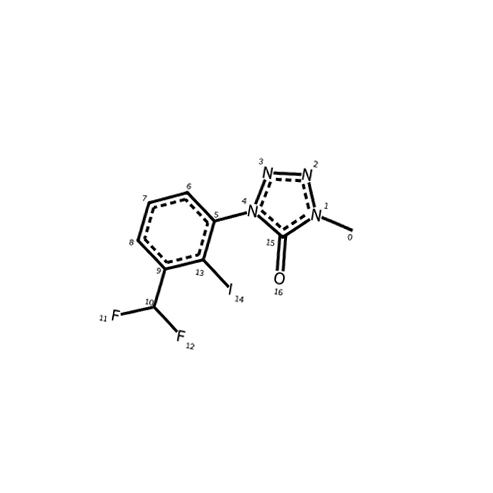 Cn1nnn(-c2cccc(C(F)F)c2I)c1=O